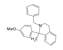 COc1ccc(C2(C)c3ccccc3CCN2Cc2ccccc2)cc1